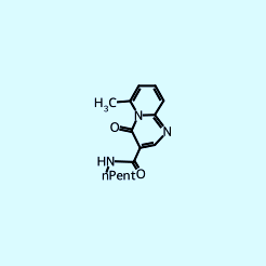 CCCCCNC(=O)c1cnc2cccc(C)n2c1=O